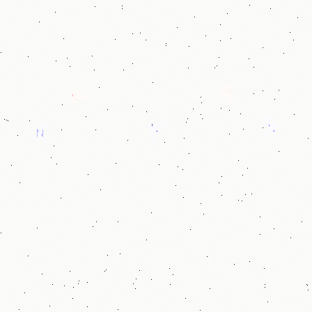 c1ccc(-c2cccc(N(c3ccc4oc5cnccc5c4c3)c3ccc4oc5cnccc5c4c3)c2)cc1